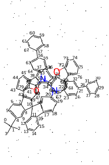 CC(C)(C)c1ccc2c(c1)C1(c3ccccc3-c3ccc(N(c4ccc(-c5ccccc5)cc4)c4cccc5c4oc4ccccc45)cc31)c1cc(N(c3ccc(-c4ccccc4)cc3)c3cccc4c3oc3ccccc34)ccc1-2